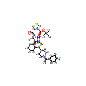 C[C@@H](NC(=O)[C@@H]1CSCN1C(=O)OC(C)(C)C)C(=O)NSC(C1CCCCC1)C1CCN(C(=O)c2ccc(F)cc2)CC1